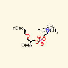 CCCCCCCCCCC=COCC(COP(=O)([O-])OCC[N+](C)(C)C)OC